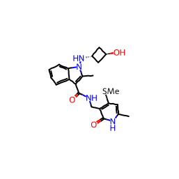 CSc1cc(C)[nH]c(=O)c1CNC(=O)c1c(C)n(N[C@H]2C[C@H](O)C2)c2ccccc12